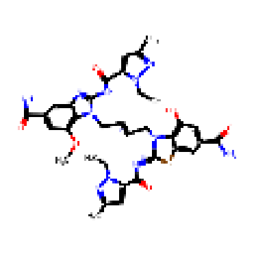 CCn1nc(C)cc1C(=O)/N=c1\sc2cc(C(N)=O)cc(O)c2n1C/C=C/Cn1c(NC(=O)c2cc(C)nn2CC)nc2cc(C(N)=O)cc(OC)c21